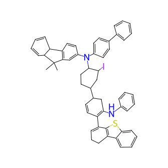 CC1(C)c2cc(N(c3ccc(-c4ccccc4)cc3)C3CCC(C4C=CC(C5=CCCc6c5sc5ccccc65)=C(Nc5ccccc5)C4)CC3I)ccc2C2C=CC=CC21